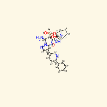 CS(=O)(=O)c1c(C2CC3CCC(C2)N3C(=O)NO)nc2c(-c3ccc(-c4ccccc4)nc3)cnn2c1N